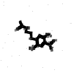 CC(=O)NCCSc1cc(N)c([N+](=O)[O-])cc1N